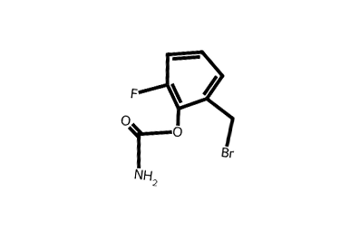 NC(=O)Oc1c(F)cccc1CBr